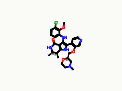 COc1c(Cl)cccc1Nc1c(-c2ccncc2OC[C@H]2CN(C)CCO2)[nH]c2c1C(=O)N[C@H](C)[C@@H]2C